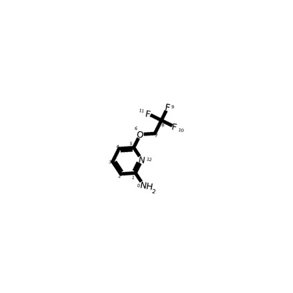 Nc1cccc(OCC(F)(F)F)n1